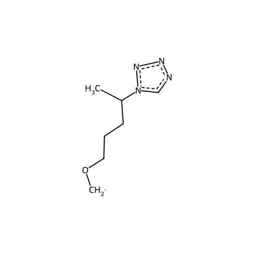 [CH2]OCCCC(C)n1cnnn1